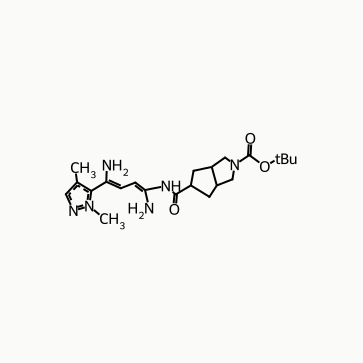 Cc1cnn(C)c1/C(N)=C/C=C(\N)NC(=O)C1CC2CN(C(=O)OC(C)(C)C)CC2C1